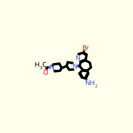 CC(=O)N1CCC(C2CCN(C3c4ccc(N)cc4CCc4cc(Br)cnc43)CC2)CC1